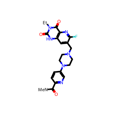 CCn1c(=O)[nH]c2cc(CN3CCN(c4ccc(C(=O)NC)nc4)CC3)c(F)nc2c1=O